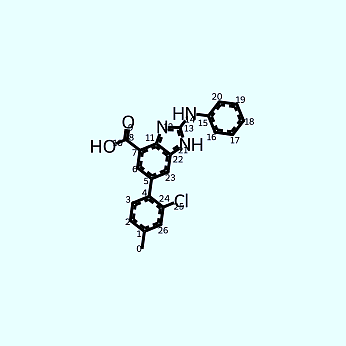 Cc1ccc(-c2cc(C(=O)O)c3nc(Nc4ccccc4)[nH]c3c2)c(Cl)c1